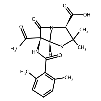 CC(=O)[C@]1(NC(=O)c2c(C)cccc2C)C(=O)N2[C@@H](C(=O)O)C(C)(C)S[C@@H]21